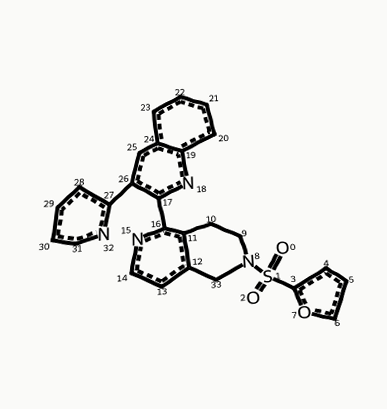 O=S(=O)(c1ccco1)N1CCc2c(ccnc2-c2nc3ccccc3cc2-c2ccccn2)C1